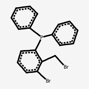 BrCc1c(Br)cccc1P(c1ccccc1)c1ccccc1